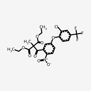 CCOC(=O)C(C)(C(=O)OCC)C(=O)c1cc(Oc2ccc(C(F)(F)F)cc2Cl)ccc1[N+](=O)[O-]